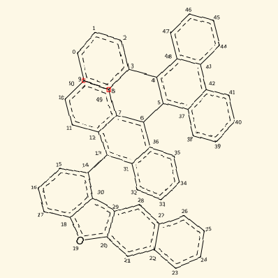 c1ccc(-c2c(-c3c4ccccc4c(-c4cccc5oc6cc7ccccc7cc6c45)c4ccccc34)c3ccccc3c3ccccc23)cc1